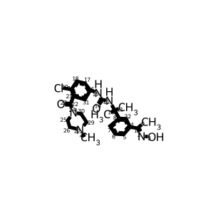 C/C(=N\O)c1cccc(C(C)(C)NC(=O)Nc2ccc(Cl)c(C(=O)N3CCN(C)CC3)c2)c1